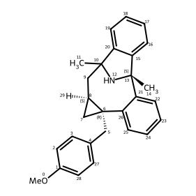 COc1ccc(C[C@]23C[C@H]2CC2(C)N[C@](C)(c4ccccc42)c2ccccc23)cc1